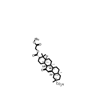 CC(C)(C)OC(=O)COC(=O)[C@H]1CC[C@]2(C)[C@H]3C(=O)C=C4[C@@H]5C[C@@](C)(C(=O)O)CC[C@]5(C)CC[C@@]4(C)[C@]3(C)CC[C@H]2C1(C)C